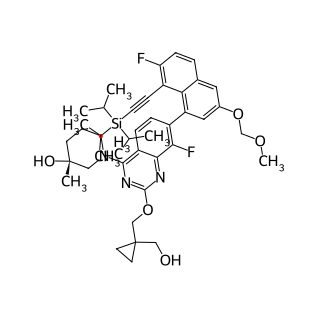 COCOc1cc(-c2ccc3c(N4CCC[C@@](C)(O)C4)nc(OCC4(CO)CC4)nc3c2F)c2c(C#C[Si](C(C)C)(C(C)C)C(C)C)c(F)ccc2c1